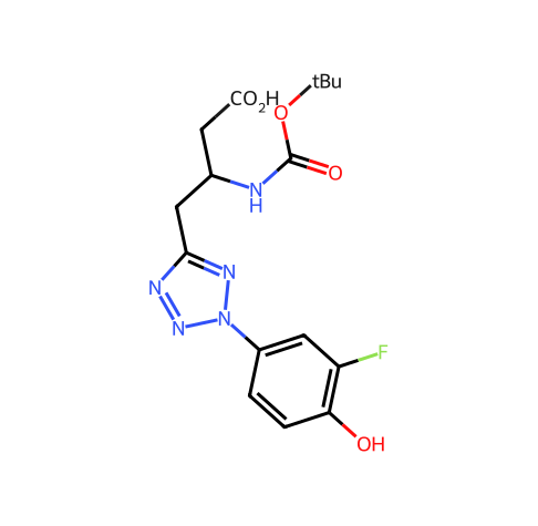 CC(C)(C)OC(=O)NC(CC(=O)O)Cc1nnn(-c2ccc(O)c(F)c2)n1